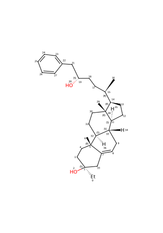 CC[C@]1(O)CC[C@@]2(C)C(=CC[C@H]3[C@@H]4CC[C@H]([C@H](C)CC[C@H](O)Cc5ccccc5)[C@@]4(C)CC[C@@H]32)C1